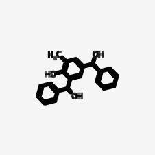 Cc1cc(C(O)c2ccccc2)cc(C(O)c2ccccc2)c1O